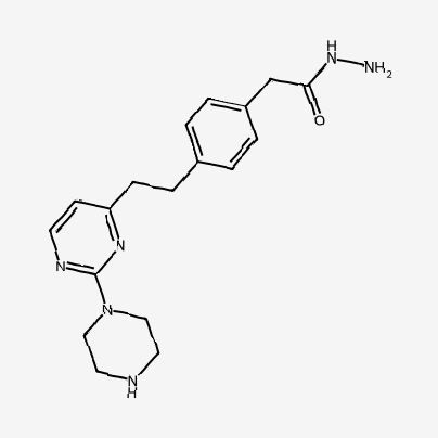 NNC(=O)Cc1ccc(CCc2ccnc(N3CCNCC3)n2)cc1